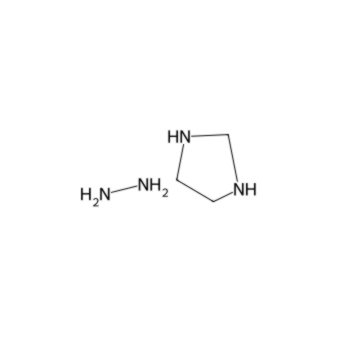 C1CNCN1.NN